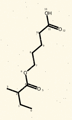 CCC(C)C(=O)OCCCCC(=O)O